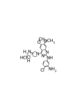 COc1cc2nc(Nc3ccc(Cl)c(N)c3)nc(N3CC[C@H](N)C3)c2cc1OC.Cl.Cl